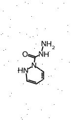 NNC(=O)N1C=CC=CN1